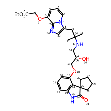 CCOC(=O)COc1cccn2c(CC(C)(C)NC[C@H](O)COc3cccc4c3C3(CCCC3)C(=O)N4)cnc12